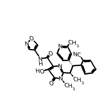 Cc1cc([C@H](c2ccccc2C#N)[C@@H](C)c2nc(C(=O)Nc3cnoc3)c(O)c(=O)n2C)ccn1